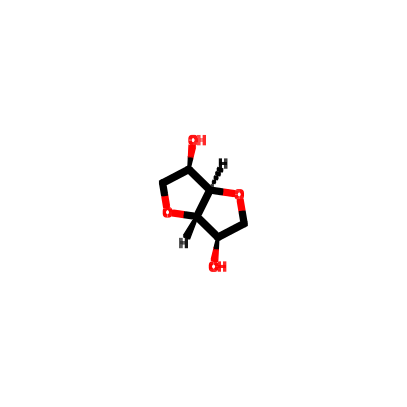 O[C@@H]1CO[C@H]2[C@H]1OC[C@H]2O